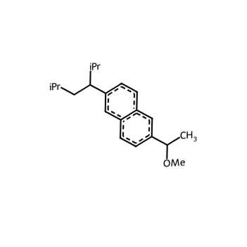 COC(C)c1ccc2cc(C(CC(C)C)C(C)C)ccc2c1